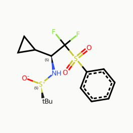 CC(C)(C)[S@@+]([O-])N[C@@H](C1CC1)C(F)(F)S(=O)(=O)c1ccccc1